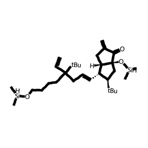 C=CC(CC=C[C@H]1[C@H](C(C)(C)C)C[C@@]2(O[SiH](C)C)C(=O)C(=C)C[C@@H]12)(CCCCO[SiH](C)C)C(C)(C)C